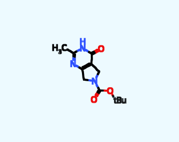 Cc1nc2c(c(=O)[nH]1)CN(C(=O)OC(C)(C)C)C2